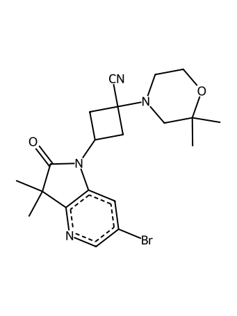 CC1(C)CN(C2(C#N)CC(N3C(=O)C(C)(C)c4ncc(Br)cc43)C2)CCO1